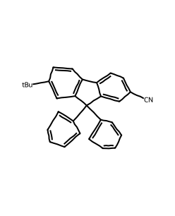 CC(C)(C)c1ccc2c(c1)C(c1ccccc1)(c1ccccc1)c1cc(C#N)ccc1-2